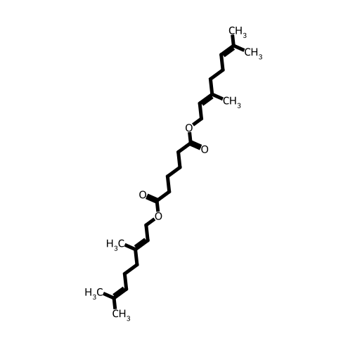 CC(C)=CCC/C(C)=C/COC(=O)CCCCC(=O)OC/C=C(\C)CCC=C(C)C